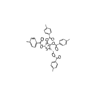 Cc1ccc(C(=O)OC[C@@H]2SC(OC(=O)c3ccc(C)cc3)[C@@H](OC(=O)c3ccc(C)cc3)[C@H]2OC(=O)c2ccc(C)cc2)cc1